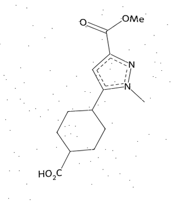 COC(=O)c1cc(C2CCC(C(=O)O)CC2)n(C)n1